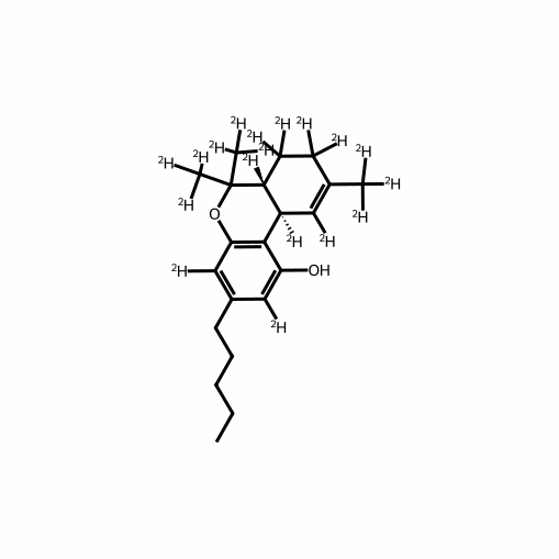 [2H]C1=C(C([2H])([2H])[2H])C([2H])([2H])C([2H])([2H])[C@@]2([2H])C(C([2H])([2H])[2H])(C([2H])([2H])[2H])Oc3c([2H])c(CCCCC)c([2H])c(O)c3[C@]12[2H]